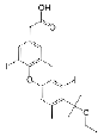 CCOC(C)(C)c1c(C)cc(Oc2c(C)cc(CC(=O)O)cc2I)cc1I